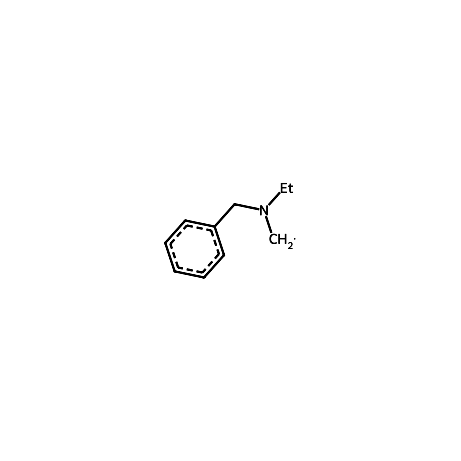 [CH2]N(CC)Cc1ccccc1